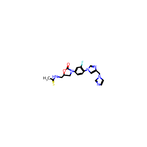 CC(=S)NCC1CN(c2ccc(-n3cnc(Cn4ccnc4)c3)c(F)c2)C(=O)O1